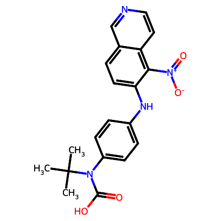 CC(C)(C)N(C(=O)O)c1ccc(Nc2ccc3cnccc3c2[N+](=O)[O-])cc1